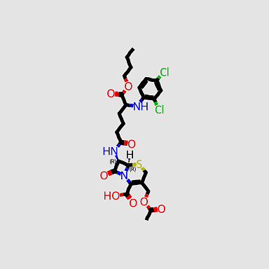 CCCCOC(=O)C(CCCC(=O)N[C@@H]1C(=O)N2C(C(=O)O)=C(COC(C)=O)CS[C@H]12)Nc1ccc(Cl)cc1Cl